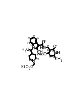 CCOC(=O)CN1CCC(C(C)n2c(C)c(C(=O)NCc3c(OC)cc(C)[nH]c3=O)c3ccccc32)CC1